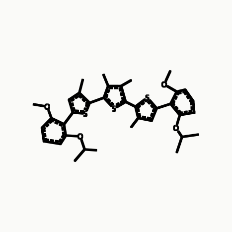 COc1cccc(OC(C)C)c1-c1cc(C)c(-c2sc(-c3sc(-c4c(OC)cccc4OC(C)C)cc3C)c(C)c2C)s1